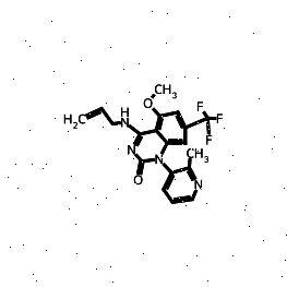 C=CCNc1nc(=O)n(-c2cccnc2C)c2cc(C(F)(F)F)cc(OC)c12